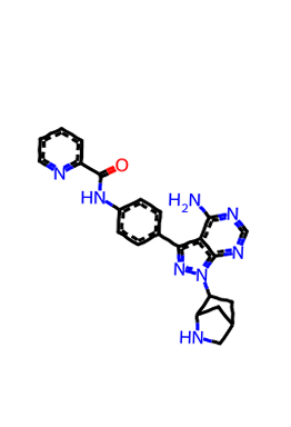 Nc1ncnc2c1c(-c1ccc(NC(=O)c3ccccn3)cc1)nn2C1CC2CNC1C2